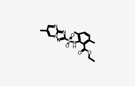 CCOC(=O)c1c(C)ccc(C)c1NS(=O)(=O)c1nc2ncc(C)cn2n1